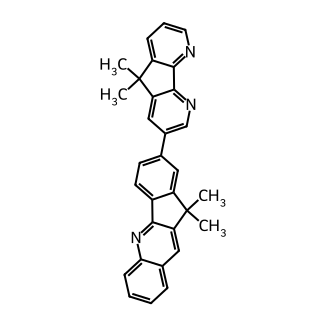 CC1(C)c2cc(-c3cnc4c(c3)C(C)(C)c3cccnc3-4)ccc2-c2nc3ccccc3cc21